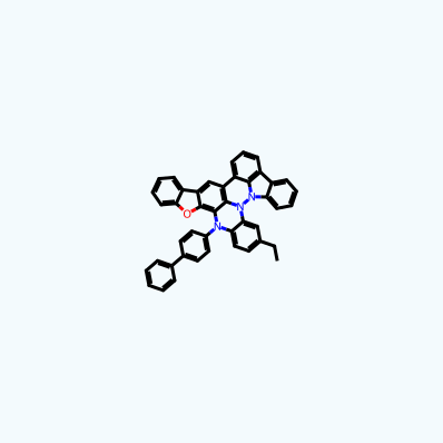 CCc1ccc2c(c1)n1n3c4ccccc4c4cccc(c5cc6c7ccccc7oc6c(c5-1)n2-c1ccc(-c2ccccc2)cc1)c43